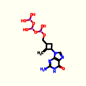 C=C1C(COP(O)OP(O)OP(O)O)CC1n1cnc2c(=O)[nH]c(N)nc21